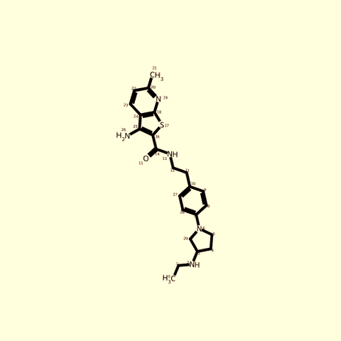 CCNC1CCN(c2ccc(CCNC(=O)c3sc4nc(C)ccc4c3N)cc2)C1